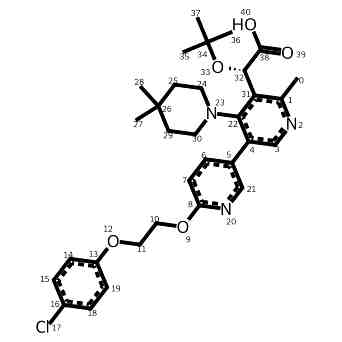 Cc1ncc(-c2ccc(OCCOc3ccc(Cl)cc3)nc2)c(N2CCC(C)(C)CC2)c1[C@H](OC(C)(C)C)C(=O)O